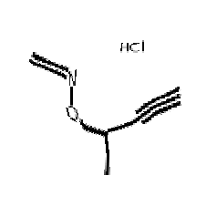 C#CC(C)ON=C.Cl